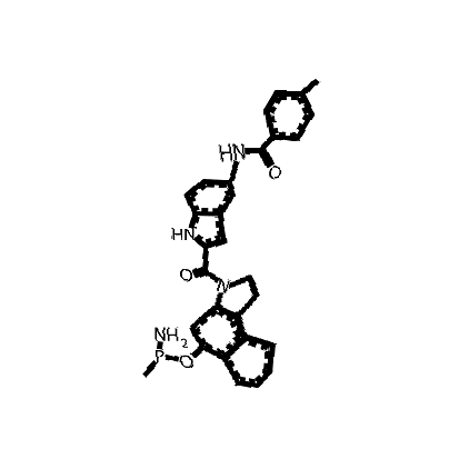 Cc1ccc(C(=O)Nc2ccc3[nH]c(C(=O)N4CCc5c4cc(OP(C)N)c4ccccc54)cc3c2)cc1